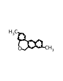 Cc1ccc2c(c1)COCc1cc3cc(C)ccc3cc1-2